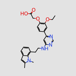 CCOc1cc(-c2cc(NCCc3cccc4cc(C)n(C)c34)ncn2)ccc1OCC(=O)O